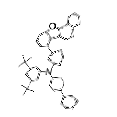 CC(C)(C)c1cc(N(C2=CC=C(c3ccccc3)CC2)c2cccc(-c3cccc4oc5c6ccccc6ccc5c34)c2)cc(C(C)(C)C)c1